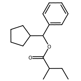 CCC(C)C(=O)OC(c1ccccc1)C1CCCC1